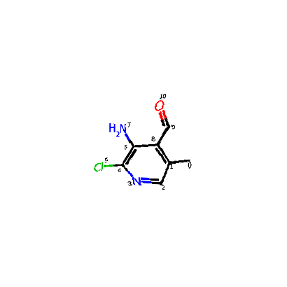 Cc1cnc(Cl)c(N)c1C=O